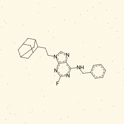 Fc1nc(NCc2ccccc2)c2ncn(CCC3C4CC5CC(C4)CC3C5)c2n1